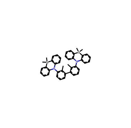 Cc1c(-c2cccc(N3c4ccccc4[Si](C)(C)c4ccccc43)c2C)cccc1N1c2ccccc2[Si](C)(C)c2ccccc21